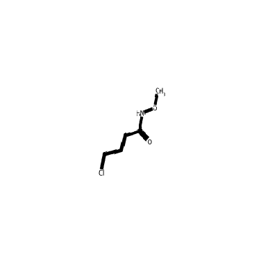 CONC(=O)CCCCl